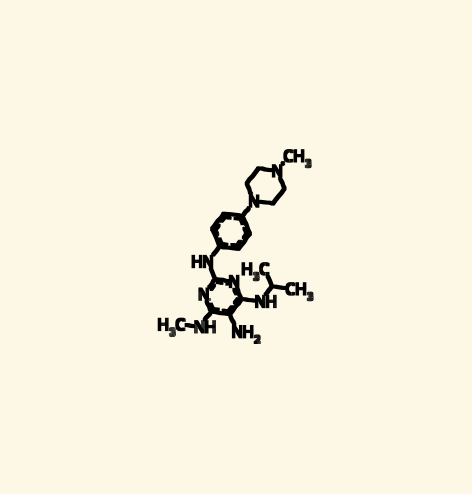 CNc1nc(Nc2ccc(N3CCN(C)CC3)cc2)nc(NC(C)C)c1N